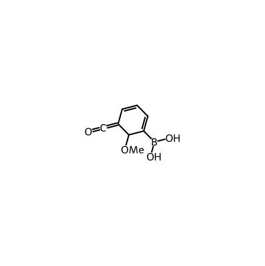 COC1C(=C=O)C=CC=C1B(O)O